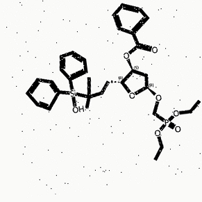 CCOP(=O)(CO[C@@H]1C[C@H](OC(=O)c2ccccc2)[C@@H](CCC(C)(C)[Si](O)(c2ccccc2)c2ccccc2)O1)OCC